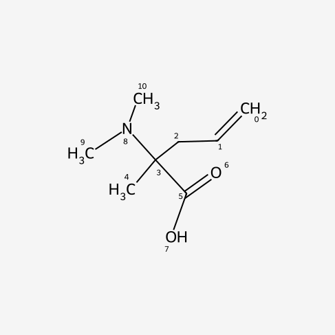 C=CCC(C)(C(=O)O)N(C)C